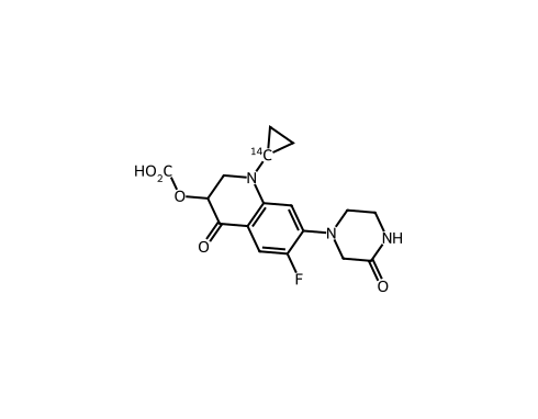 O=C1CN(c2cc3c(cc2F)C(=O)C(OC(=O)O)CN3[14CH]2CC2)CCN1